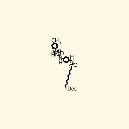 CCCCCCCCCCCCCCCCCCSC(=O)Nc1ccc(NC(=O)NS(=O)(=O)c2ccc(C)cc2)cc1